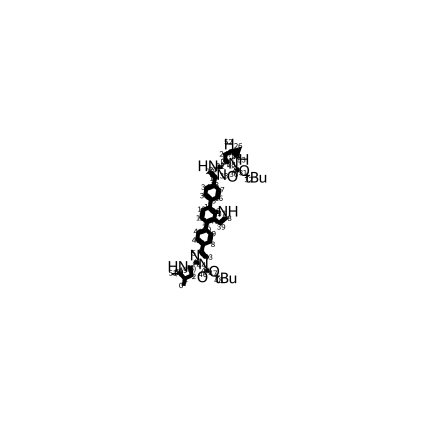 CC1C[C@@H](c2nc(-c3ccc(-c4ccc(-c5ccc(-c6c[nH]c([C@@H]7C[C@H]8C[C@H]8N7C(=O)OC(C)(C)C)n6)cc5)c5[nH]ccc45)cc3)cn2C(=O)OC(C)(C)C)N[C@@H]1C